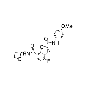 COc1ccc(NC(=O)c2nc3c(F)ccc(C(=O)NCC4CCO4)c3o2)cc1